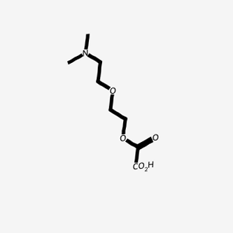 CN(C)CCOCCOC(=O)C(=O)O